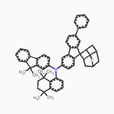 CC1(C)CCC(C)(C)c2c(N(c3ccc4c(c3)-c3ccc(-c5ccccc5)cc3C43C4CC5CC6CC3C64C5)c3ccc4c(c3)C(C)(C)c3ccccc3-4)cccc21